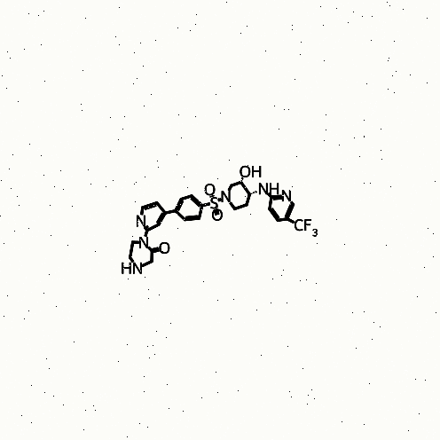 O=C1CNCCN1c1cc(-c2ccc(S(=O)(=O)N3CC[C@@H](Nc4ccc(C(F)(F)F)cn4)[C@@H](O)C3)cc2)ccn1